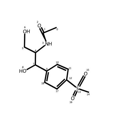 CC(=O)NC(CO)C(O)c1ccc(S(C)(=O)=O)cc1